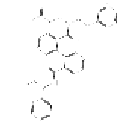 O=C(O)CCN(CCc1cccnc1)C(=O)c1ccccc1-c1ccccc1C(=O)N[C@H](CO)c1ccccc1